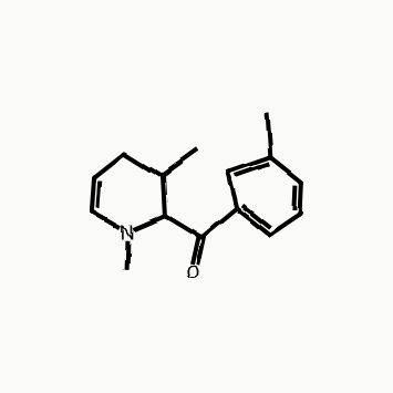 Cc1cccc(C(=O)C2C(C)CC=CN2C)c1